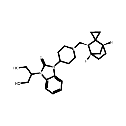 O=c1n(C(CO)CO)c2ccccc2n1C1CCN(C[C@@H]2[C@H]3CC[C@H](C3)C23CC3)CC1